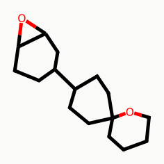 C1CCC2(CCC(C3CCC4OC4C3)CC2)OC1